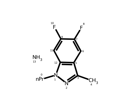 CCCn1nc(C)c2cc(F)c(F)cc21.N